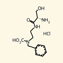 Cl.N[C@@H](CO)C(=O)NCCN(Cc1ccccc1)C(=O)O